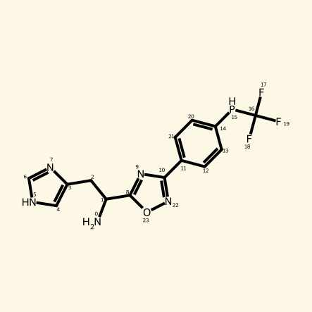 NC(Cc1c[nH]cn1)c1nc(-c2ccc(PC(F)(F)F)cc2)no1